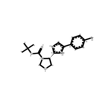 CC(C)(C)OC(=O)N1COC[C@H]1c1ncc(-c2ccc(Br)cc2)[nH]1